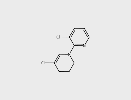 ClC1=CN(c2ncccc2Cl)CCC1